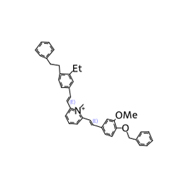 CCc1cc(/C=C/c2cccc(/C=C/c3ccc(OCc4ccccc4)c(OC)c3)[n+]2C)ccc1CCc1ccccc1